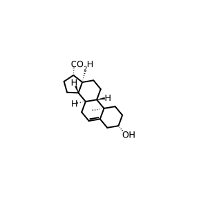 C[C@]12CC[C@H]3[C@@H](CC=C4C[C@@H](O)CC[C@@]43C)[C@@H]1CC[C@@H]2C(=O)O